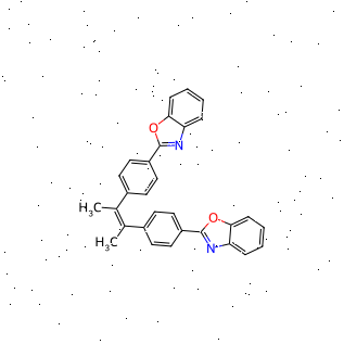 CC(=C(C)c1ccc(-c2nc3ccccc3o2)cc1)c1ccc(-c2nc3ccccc3o2)cc1